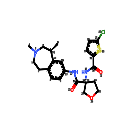 C[C@@H]1CN(C)CCc2ccc(NC(=O)[C@@]3(NC(=O)c4ccc(Cl)s4)CCOC3)cc21